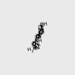 CC(C)(O)c1cn2c(n1)CN(c1ccc(CNc3cccc4c(N)nccc34)cn1)CC2